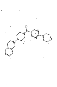 O=C(c1cnc(N2CCOCC2)nc1)N1CCC(N2CCc3ccc(F)cc3C2)CC1